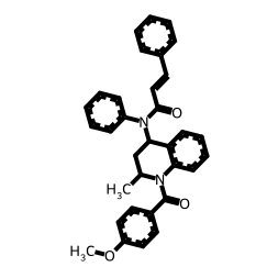 COc1ccc(C(=O)N2c3ccccc3C(N(C(=O)C=Cc3ccccc3)c3ccccc3)CC2C)cc1